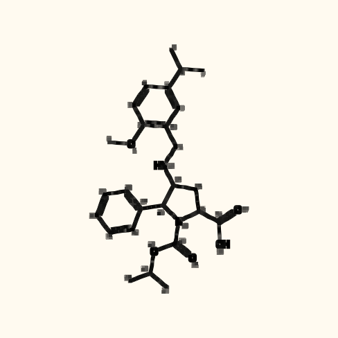 COc1ccc(C(C)C)cc1CNC1CC(C(=O)O)N(C(=O)OC(C)C)C1c1ccccc1